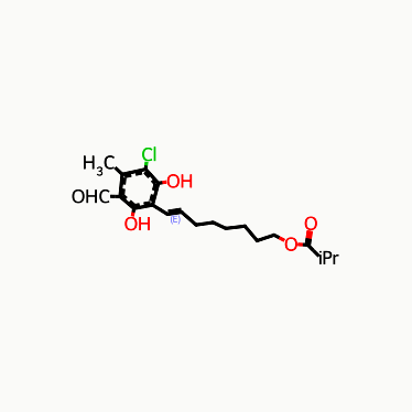 Cc1c(Cl)c(O)c(/C=C/CCCCCCOC(=O)C(C)C)c(O)c1C=O